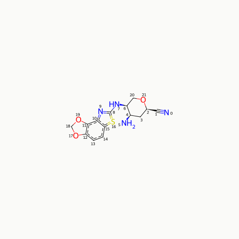 N#C[C@H]1C[C@@H](N)[C@@H](Nc2nc3c4c(ccc3s2)OCO4)CO1